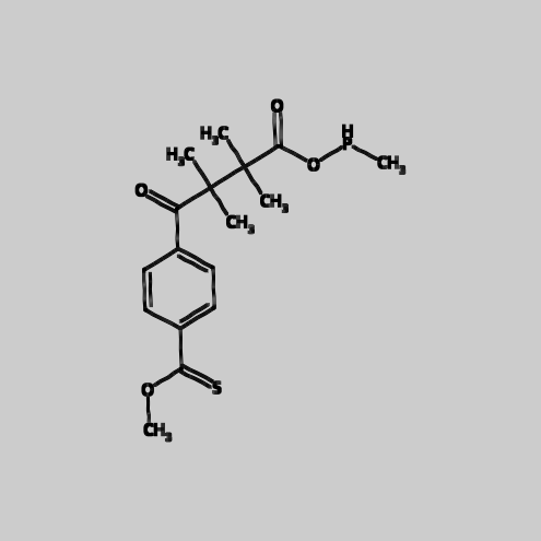 COC(=S)c1ccc(C(=O)C(C)(C)C(C)(C)C(=O)OPC)cc1